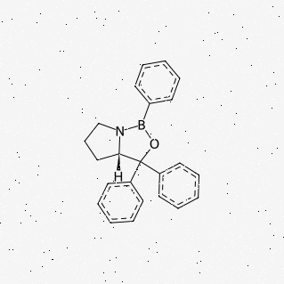 c1ccc(B2OC(c3ccccc3)(c3ccccc3)[C@@H]3CCCN23)cc1